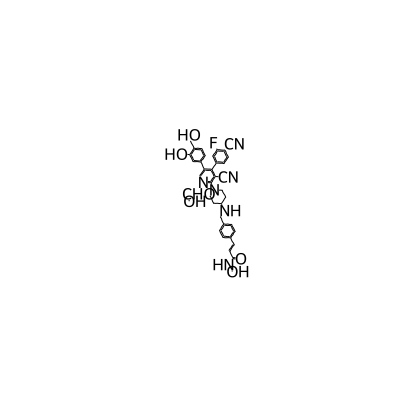 N#Cc1ccc(-c2c(-c3ccc(CO)c(O)c3)cnc(N3CCC(NCc4ccc(/C=C/C(=O)NO)cc4)CC3)c2C#N)cc1F.O=CO